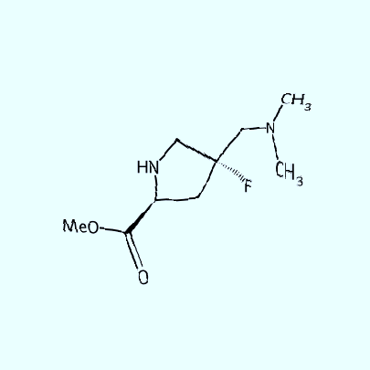 COC(=O)[C@@H]1C[C@](F)(CN(C)C)CN1